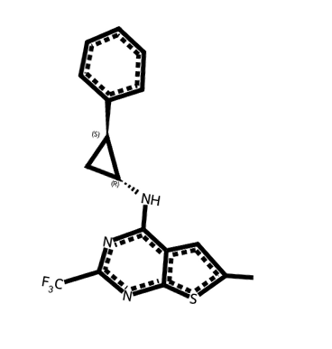 Cc1cc2c(N[C@@H]3C[C@H]3c3ccccc3)nc(C(F)(F)F)nc2s1